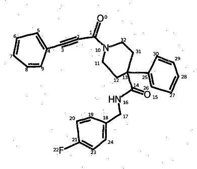 O=C(C#Cc1ccccc1)N1CCC(C(=O)NCc2ccc(F)cc2)(c2ccccc2)CC1